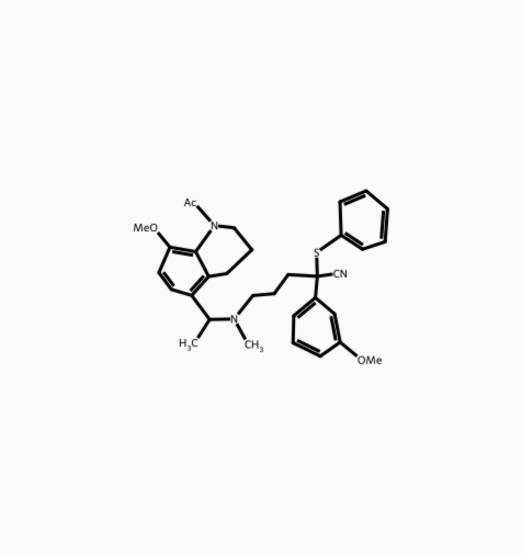 COc1cccc(C(C#N)(CCCN(C)C(C)c2ccc(OC)c3c2CCCN3C(C)=O)Sc2ccccc2)c1